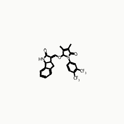 CC1=C(C)C(O/C=C2/C(=O)NC3c4ccccc4CC23)N(c2ccc(C(F)(F)F)c(C(F)(F)F)c2)C1=O